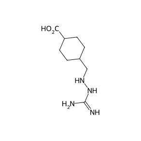 N=C(N)NNCC1CCC(C(=O)O)CC1